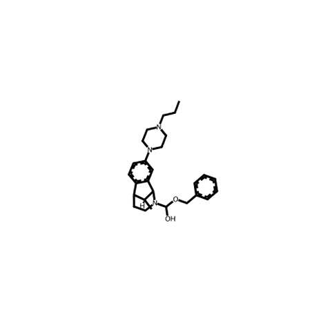 CCCN1CCN(c2ccc3c(c2)C2[C@@H](C)C3CCN2C(O)OCc2ccccc2)CC1